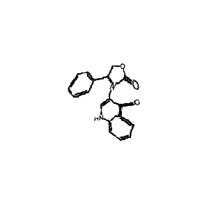 O=C1OCC(c2ccccc2)N1c1c[nH]c2ccccc2c1=O